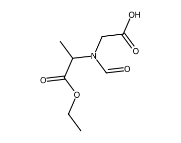 CCOC(=O)C(C)N(C=O)CC(=O)O